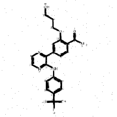 NC(=O)c1ccc(-c2nccnc2Nc2ccc(C(F)(F)F)cc2)cc1OCCCO